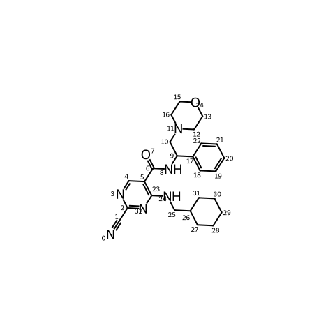 N#Cc1ncc(C(=O)NC(CN2CCOCC2)c2ccccc2)c(NCC2CCCCC2)n1